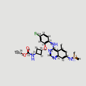 C#S(/C)=N/c1cc(C)c2c(Nc3ccc(F)cc3O[C@H]3C[C@H](NC(=O)OC(C)(C)C)C3)ncnc2c1